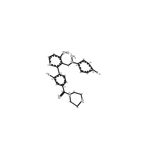 CN(Cc1c(C=O)ccnc1-c1ccc(C(=O)N2CCOCC2)cc1F)c1ccc(F)cc1